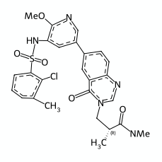 CNC(=O)[C@H](C)Cn1cnc2ccc(-c3cnc(OC)c(NS(=O)(=O)c4cccc(C)c4Cl)c3)cc2c1=O